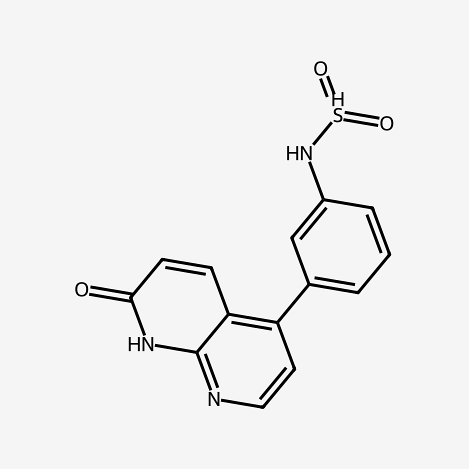 O=c1ccc2c(-c3cccc(N[SH](=O)=O)c3)ccnc2[nH]1